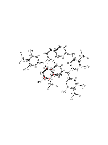 CC(C)c1cc(P(c2cc(C(C)C)c(N(C)C)c(C(C)C)c2)c2cc(-c3c(P(c4cc(C(C)C)c(N(C)C)c(C(C)C)c4)c4cc(C(C)C)c(N(C)C)c(C(C)C)c4)ccc4ccccc34)c3ccccc3c2)cc(C(C)C)c1N(C)C